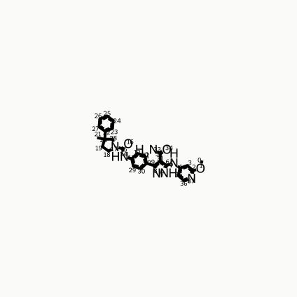 COc1cc(Nc2[nH]nc(-c3ccc(NC(=O)N4CCC(C)(c5ccccc5)C4)cc3)c2C(N)=O)ccn1